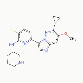 COc1cc2ncc(-c3ccc(F)c(NC4CCCNC4)n3)n2nc1C1CC1